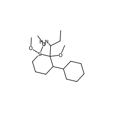 CCC(N)C1(OC)C(C2CCCCC2)CCC[Si]1(OC)OC